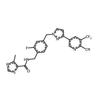 Cc1ncsc1C(=O)NCc1ccc(Cn2ccc(-c3cnc(C#N)c(C(F)(F)F)c3)n2)cc1F